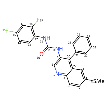 CSc1ccc2ncc(NC(=O)Nc3ccc(F)cc3F)c(-c3ccccc3)c2c1